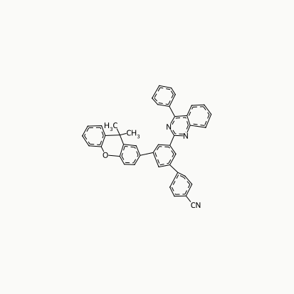 CC1(C)c2ccccc2Oc2ccc(-c3cc(-c4ccc(C#N)cc4)cc(-c4nc(-c5ccccc5)c5ccccc5n4)c3)cc21